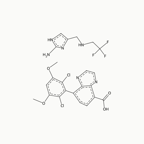 COc1cc(OC)c(Cl)c(-c2ccc(C(=O)O)c3nccnc23)c1Cl.Nc1nc(CNCC(F)(F)F)c[nH]1